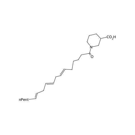 CCCCC/C=C/C/C=C/C/C=C/CCCCC(=O)N1CCCC(C(=O)O)C1